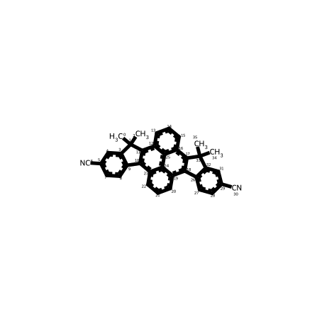 CC1(C)c2cc(C#N)ccc2-c2c1c1cccc3c4c(c5cccc2c5c13)-c1ccc(C#N)cc1C4(C)C